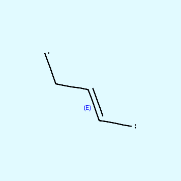 [CH]/C=C/C[CH2]